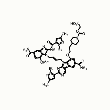 CCn1nc(C)cc1C(=O)Nc1nc2cc(C(N)=O)cc(OC)c2n1CC=CCn1c2nc(-c3cc(C)nn3CC)ncc2c2cc(C(N)=O)cc(OCCC3CCN(C(=O)OCC(=O)O)CC3)c21